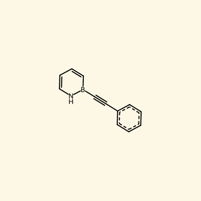 C(#Cc1ccccc1)B1C=CC=CN1